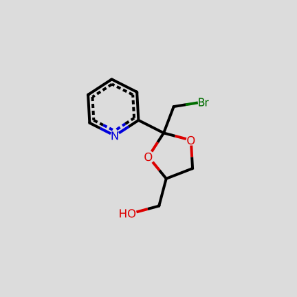 OCC1COC(CBr)(c2ccccn2)O1